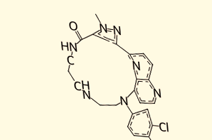 Cn1nc2cc1C(=O)NCCCNCCN(c1ccc(F)c(Cl)c1)c1ccnc3ccc-2nc13